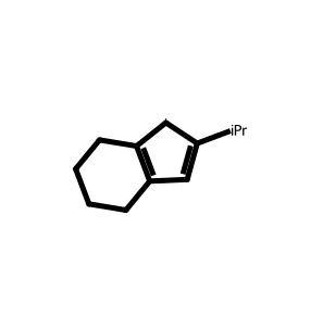 CC(C)C1=CC2=C([CH]1)CCCC2